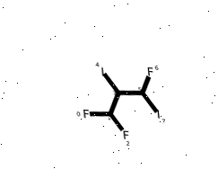 FC(F)C(I)C(F)I